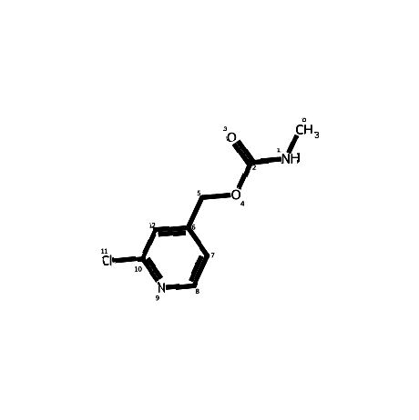 CNC(=O)OCc1ccnc(Cl)c1